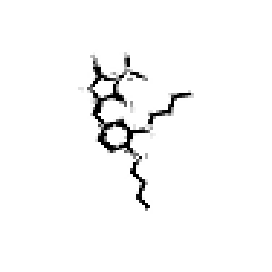 CCCCOc1ccc(C=C2SC(=S)N(N(C)C)C2=O)cc1OCCCC